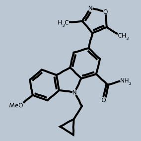 COc1ccc2c3cc(-c4c(C)noc4C)cc(C(N)=O)c3n(CC3CC3)c2c1